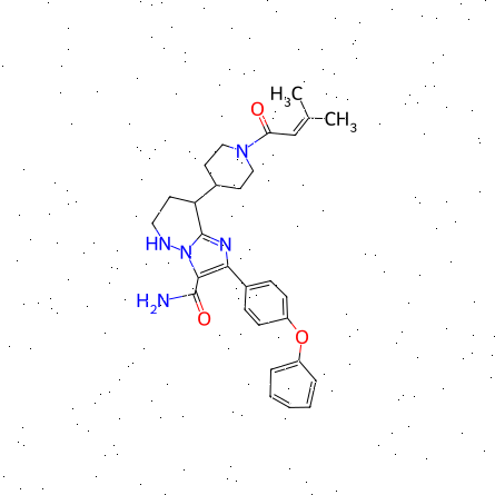 CC(C)=CC(=O)N1CCC(C2CCNn3c2nc(-c2ccc(Oc4ccccc4)cc2)c3C(N)=O)CC1